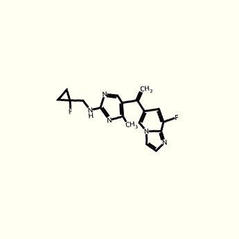 C=C(c1cc(F)c2nccn2c1)c1cnc(NCC2(F)CC2)nc1C